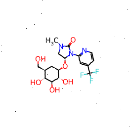 CN1C[C@H](O[C@@H]2C[C@H](CO)[C@@H](O)[C@H](O)[C@H]2O)N(c2cc(C(F)(F)F)ccn2)C1=O